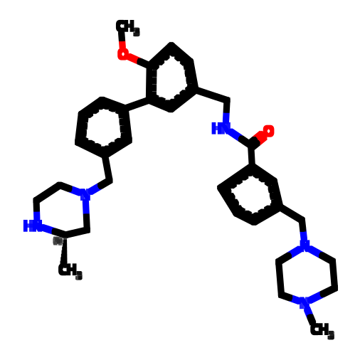 COc1ccc(CNC(=O)c2cccc(CN3CCN(C)CC3)c2)cc1-c1cccc(CN2CCN[C@@H](C)C2)c1